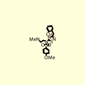 CNCCN(c1nc(Cc2ccccc2C)ns1)S(=O)(=O)c1ccc(OC)cc1